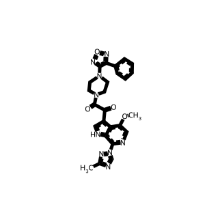 COc1cnc(-n2cnc(C)n2)c2[nH]cc(C(=O)C(=O)N3CCN(c4nonc4-c4ccccc4)CC3)c12